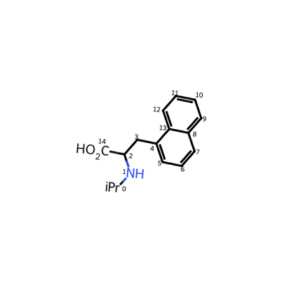 CC(C)NC(Cc1cccc2ccccc12)C(=O)O